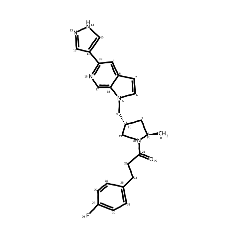 C[C@@H]1C[C@@H](Cn2ccc3cc(-c4cn[nH]c4)ncc32)CN1C(=O)CCc1ccc(F)cc1